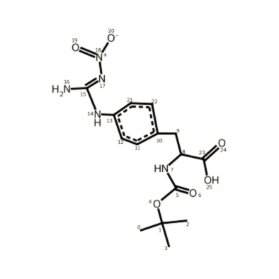 CC(C)(C)OC(=O)NC(Cc1ccc(NC(N)=N[N+](=O)[O-])cc1)C(=O)O